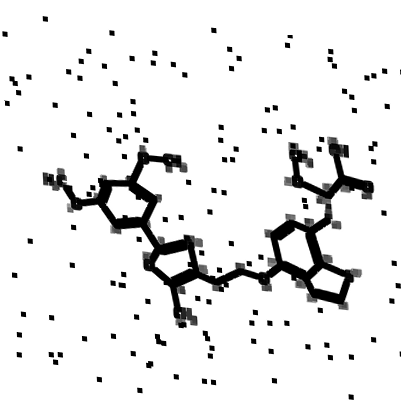 COc1cc(OC)cc(-c2nc(CCOc3ccc(C[C@H](OC)C(=O)O)c4sccc34)c(C)o2)c1